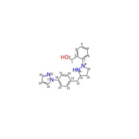 OCc1ccccc1N1CCC(Cc2ccc(-n3cccn3)cc2)N1